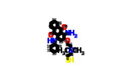 C[N+](C)(CCS)CCOc1cc(Nc2ccccc2)c2c(c1N)C(=O)c1ccccc1C2=O